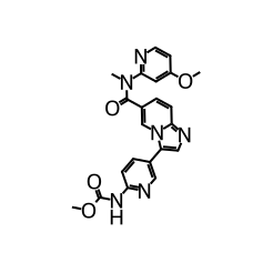 COC(=O)Nc1ccc(-c2cnc3ccc(C(=O)N(C)c4cc(OC)ccn4)cn23)cn1